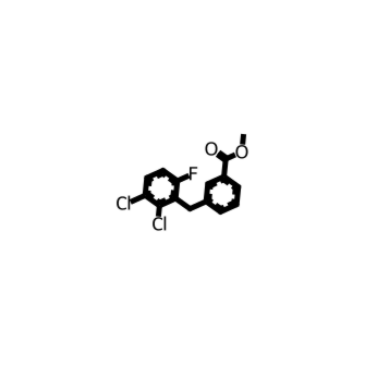 COC(=O)c1cccc(Cc2c(F)ccc(Cl)c2Cl)c1